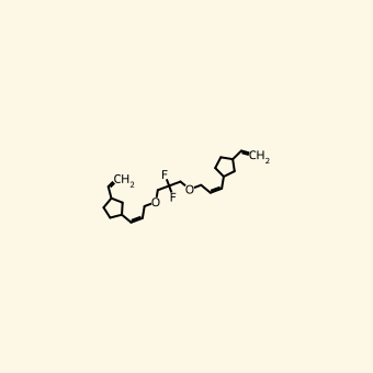 C=CC1CCC(/C=C\COCC(F)(F)COC/C=C\C2CCC(C=C)C2)C1